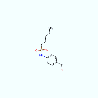 CCCCCS(=O)(=O)Nc1ccc([C]=O)cc1